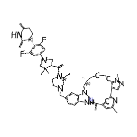 C=C1CC[C@H](c2c(F)cc(N3CC(C(=C)N4CCN(Cc5ccc6c(c5)N5C[C@H](C)CCCCc7c(cnn7C)-c7cc(cc(C)n7)C(=C)/N=C/5N6)C[C@@H]4C)C(C)(C)C3)cc2F)C(=C)N1